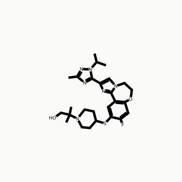 Cc1nc(-c2cn3c(n2)-c2cc(SC4CCN(C(C)(C)CO)CC4)c(F)cc2OCC3)n(C(C)C)n1